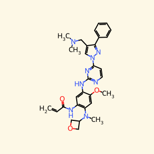 C=CC(=O)Nc1cc(Nc2nccc(-n3cc(CN(C)C)c(-c4ccccc4)n3)n2)c(OC)cc1N(C)C1COC1